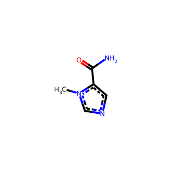 Cn1cncc1C(N)=O